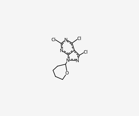 Clc1nc(Cl)c2c(Cl)nn(C3CCCCO3)c2n1